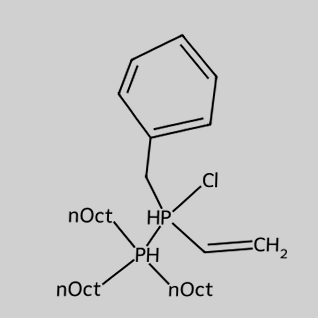 C=C[PH](Cl)(Cc1ccccc1)[PH](CCCCCCCC)(CCCCCCCC)CCCCCCCC